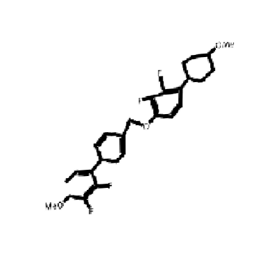 C/C=C(\C(F)=C(\F)COC)C1C=CC(COc2ccc(C3CCC(OC)CC3)c(F)c2F)=CC1